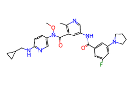 CON(C(=O)c1cc(NC(=O)c2cc(F)cc(N3CCCC3)c2)cnc1C)c1ccc(NCC2CC2)nc1